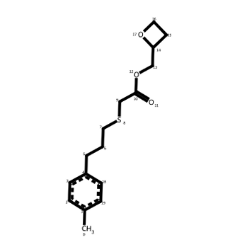 Cc1ccc(CCCSCC(=O)OCC2CCO2)cc1